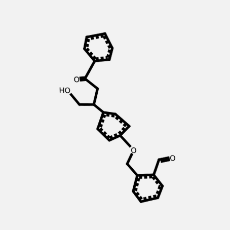 O=Cc1ccccc1COc1ccc(C(CO)CC(=O)c2ccccc2)cc1